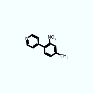 Cc1ccc(-c2ccncc2)c([N+](=O)[O-])c1